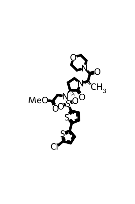 COC(=O)CN([C@H]1CCN([C@@H](C)C(=O)N2CCOCC2)C1=O)S(=O)(=O)c1ccc(-c2ccc(Cl)s2)s1